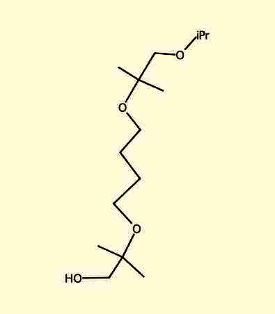 CC(C)OCC(C)(C)OCCCCOC(C)(C)CO